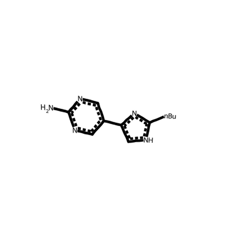 [CH2]CCCc1nc(-c2cnc(N)nc2)c[nH]1